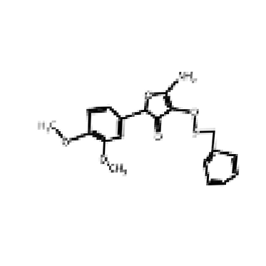 COc1ccc(C2OC(N)=C(OSCc3ccccc3)C2=O)cc1OC